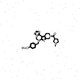 COc1ccc(CN2Cn3ncnc3-c3c2sc2c3CCN(C(=O)C3CCN(C)C3)C2)cc1